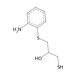 Nc1ccccc1SCC(O)CS